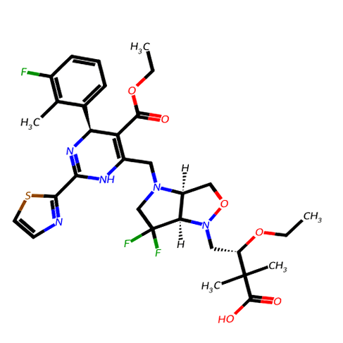 CCOC(=O)C1=C(CN2CC(F)(F)[C@H]3[C@@H]2CON3C[C@H](OCC)C(C)(C)C(=O)O)NC(c2nccs2)=N[C@H]1c1cccc(F)c1C